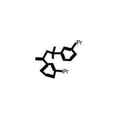 C=C(CC(C)(C)c1cccc(C(C)C)c1)c1cccc(C(C)C)c1